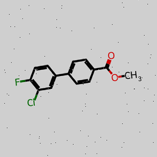 COC(=O)c1ccc(-c2ccc(F)c(Cl)c2)cc1